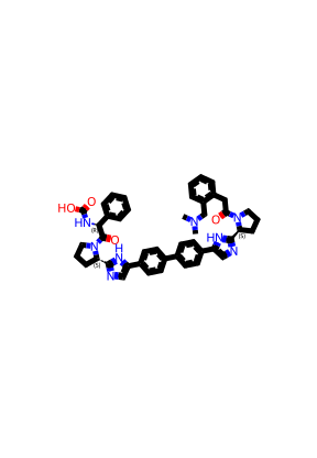 CN(C)Cc1ccccc1CC(=O)N1CCC[C@H]1c1ncc(-c2ccc(-c3ccc(-c4cnc([C@@H]5CCCN5C(=O)[C@H](NC(=O)O)c5ccccc5)[nH]4)cc3)cc2)[nH]1